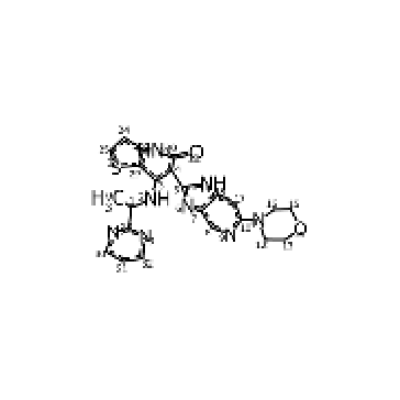 CC(Nc1c(-c2nc3cnc(N4CCOCC4)cc3[nH]2)c(=O)[nH]c2ccsc12)c1ncccn1